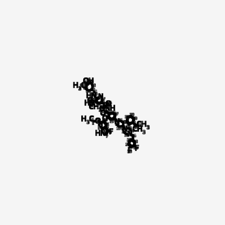 CCOc1nc2[nH]cc(F)c2cc1Oc1cc(N2CCC(N3CCN(Cc4ccc(F)c(F)c4)C[C@H]3c3ccccc3C(C)C)CC2)ccc1C(=O)NS(=O)(=O)c1cnc(NC[C@H]2CC[C@](C)(O)CC2)c([NH+](C)[O-])c1